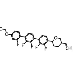 C=CC1CCC(c2ccc(-c3ccc(-c4ccc(OCC)cc4F)c(F)c3F)c(F)c2F)OC1